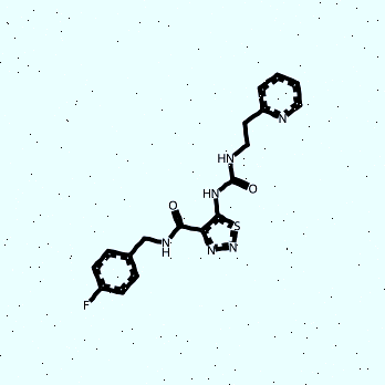 O=C(NCCc1ccccn1)Nc1snnc1C(=O)NCc1ccc(F)cc1